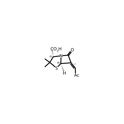 CC(=O)/C=C1/C(=O)N2[C@@H]1SC(C)(C)[C@@H]2C(=O)O